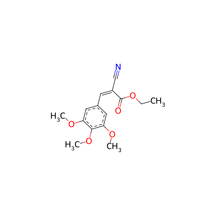 CCOC(=O)C(C#N)=Cc1cc(OC)c(OC)c(OC)c1